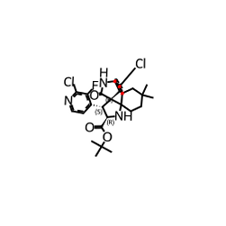 CC1(C)CCC2(CC1)N[C@@H](C(=O)OC(C)(C)C)[C@H](c1ccnc(Cl)c1F)[C@]21C(=O)Nc2cc(Cl)ccc21